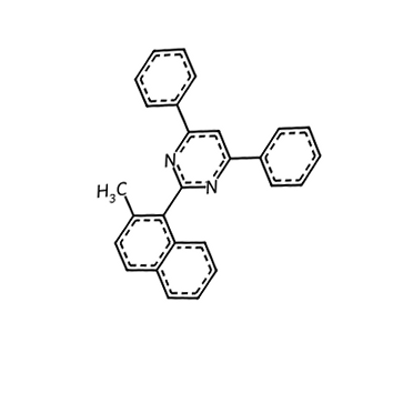 Cc1ccc2ccccc2c1-c1nc(-c2ccccc2)cc(-c2ccccc2)n1